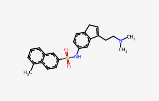 Cc1cccc2cc(S(=O)(=O)Nc3ccc4c(c3)C(CCN(C)C)=CC4)ccc12